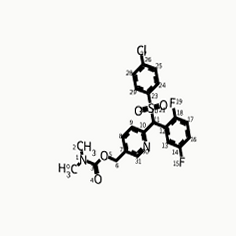 CN(C)C(=O)OCc1ccc(C(c2cc(F)ccc2F)S(=O)(=O)c2ccc(Cl)cc2)nc1